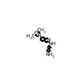 CC1CN(c2ccc3cc(NC4CC5(CC(N)C5)C4)ncc3c2)CC(C)O1